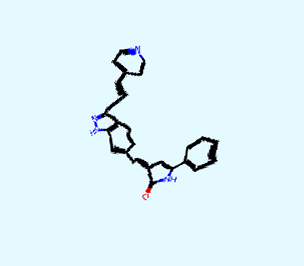 O=C1NC(c2ccccc2)=C/C1=C\c1ccc2c(/C=C/c3ccncc3)n[nH]c2c1